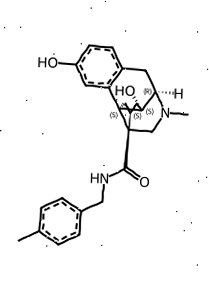 Cc1ccc(CNC(=O)[C@H]2C[C@]34CCN(C)[C@H](Cc5ccc(O)cc53)[C@]4(O)C2)cc1